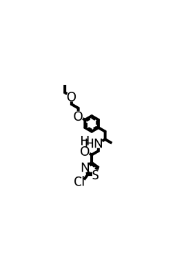 CCOCCOc1ccc(CC(C)NCC(O)c2csc(Cl)n2)cc1